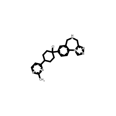 Cc1nccc(C2CCC(Cl)(c3ccc4c(c3)CNCc3nncn3-4)CC2)n1